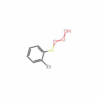 CCc1ccccc1SOOO